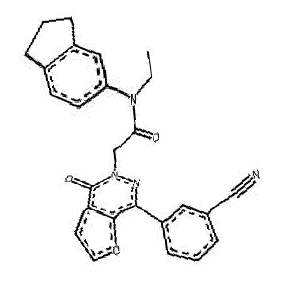 CCN(C(=O)Cn1nc(-c2cccc(C#N)c2)c2occc2c1=O)c1ccc2c(c1)CCC2